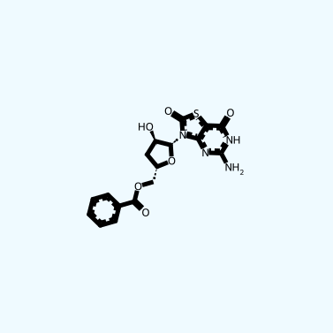 Nc1nc2c(sc(=O)n2[C@@H]2O[C@H](COC(=O)c3ccccc3)C[C@H]2O)c(=O)[nH]1